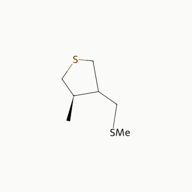 CSCC1CSC[C@@H]1C